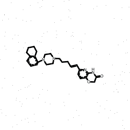 O=C1COc2ccc(/C=C/CCCN3CCN(c4cccc5c4CCCC5)CC3)nc2N1